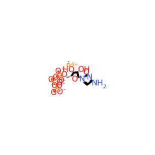 Nc1ccn([C@@H]2O[C@H](COP(=O)([O-])OP(=O)([O-])OP(=O)([O-])[O-])[C@@H](O)[C@H]2O)c(=O)n1.[P+4]